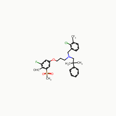 CC(C)(CN(CCCOc1cc(F)c(C=O)c(S(C)(=O)=O)c1)Cc1cccc(C(F)(F)F)c1Cl)c1ccccc1